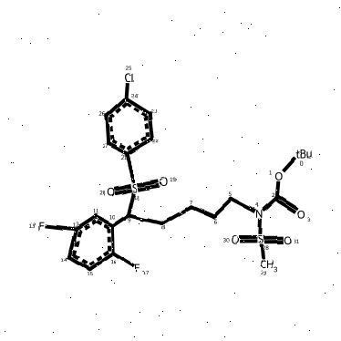 CC(C)(C)OC(=O)N(CCCCC(c1cc(F)ccc1F)S(=O)(=O)c1ccc(Cl)cc1)S(C)(=O)=O